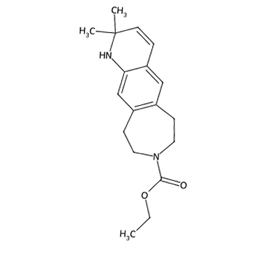 CCOC(=O)N1CCc2cc3c(cc2CC1)NC(C)(C)C=C3